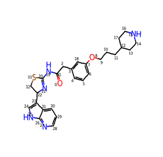 O=C(Cc1cccc(OCCCC2CCNCC2)c1)NC1=NC(c2c[nH]c3ncccc23)CS1